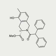 COC(=O)[C@@H]1Cc2c(ccc(C)c2O)CN1C(=O)C(c1ccccc1)c1ccccc1